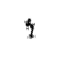 O=C(CCCCCCOc1ccc(Nc2cc3[nH]cnc3c(NC3CCCCC3)n2)cc1)NO